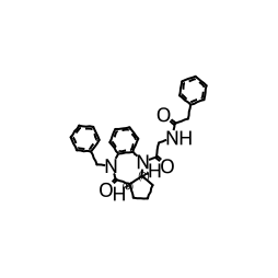 O=C(Cc1ccccc1)NCC(=O)N1c2ccccc2N(Cc2ccccc2)C(=O)[C@H]2CCC[C@H]21